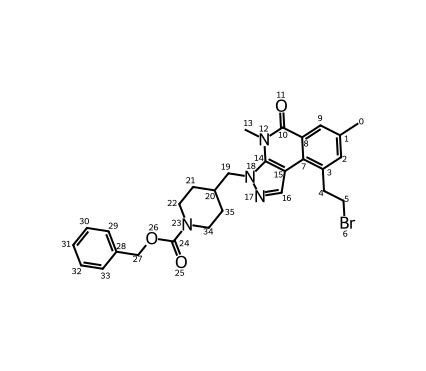 Cc1cc(CCBr)c2c(c1)c(=O)n(C)c1c2cnn1CC1CCN(C(=O)OCc2ccccc2)CC1